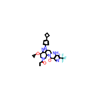 C=CC(=O)N1CC(OC2CC2)c2nn(-c3ccc(C4CCC4)cc3)c3c2C(C1)N(C(=O)c1cnc(C(F)(F)F)cc1N)CC3